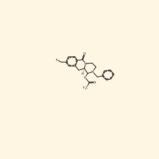 O=C1c2ccc(CF)cc2C[C@@H]2C(OC(=O)C(F)(F)F)N(Cc3ccccc3)CCN12